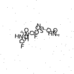 O=C(NC1CC1)c1ccc(-c2cc3nccc(Oc4ccc(NC(=O)C5(C(=O)Nc6ccc(F)cc6)CC5)cc4F)c3s2)cc1